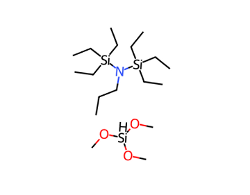 CCCN([Si](CC)(CC)CC)[Si](CC)(CC)CC.CO[SiH](OC)OC